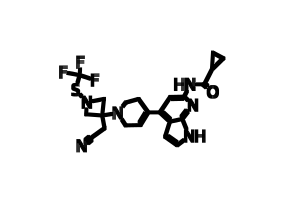 N#CCC1(N2CC=C(c3cc(NC(=O)C4CC4)nc4[nH]ccc34)CC2)CN(SC(F)(F)F)C1